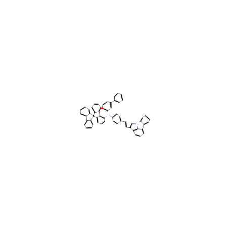 c1ccc(-c2cccc(N(c3ccc(-c4cc5c6cccc7c8ccccc8n(c5s4)c76)cc3)c3cccc4c3-c3ccccc3C43c4ccccc4-c4ccccc43)c2)cc1